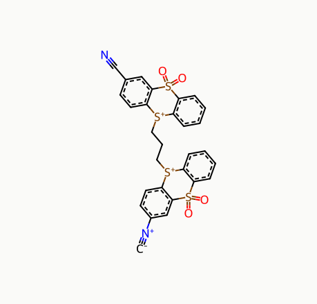 [C-]#[N+]c1ccc2c(c1)S(=O)(=O)c1ccccc1[S+]2CCC[S+]1c2ccccc2S(=O)(=O)c2cc(C#N)ccc21